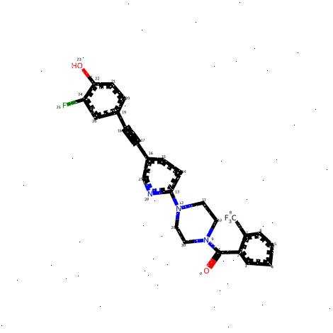 O=C(c1ccccc1C(F)(F)F)N1CCN(c2ccc(C#Cc3ccc(O)c(F)c3)cn2)CC1